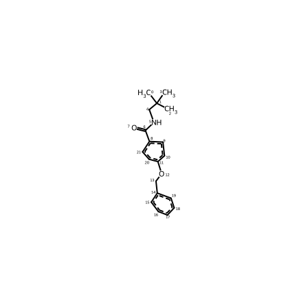 CC(C)(C)CNC(=O)c1ccc(OCc2ccccc2)cc1